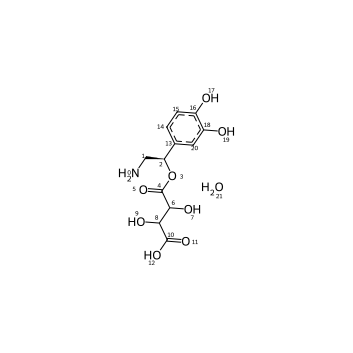 NC[C@H](OC(=O)C(O)C(O)C(=O)O)c1ccc(O)c(O)c1.O